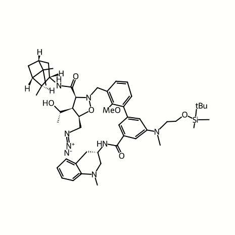 COc1c(CN2O[C@@H](CN=[N+]=[N-])[C@@H]([C@H](C)O)[C@H]2C(=O)N[C@H]2C[C@H]3C[C@@H]([C@@H]2C)C3(C)C)cccc1-c1cc(C(=O)N[C@@H](Cc2ccccc2)CN(C)C)cc(N(C)CCO[Si](C)(C)C(C)(C)C)c1